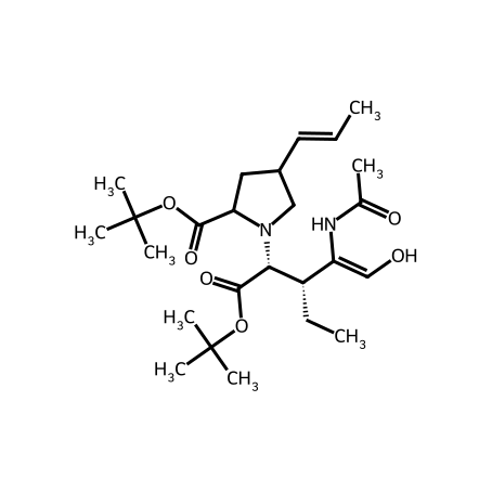 CC=CC1CC(C(=O)OC(C)(C)C)N([C@@H](C(=O)OC(C)(C)C)[C@@H](CC)C(=CO)NC(C)=O)C1